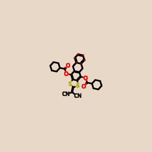 [C-]#[N+]C(C#N)=C1Sc2c(OC(=O)C3CCCCC3)c3c(c(OC(=O)C4CCCCC4)c2S1)C1c2ccccc2C3c2ccccc21